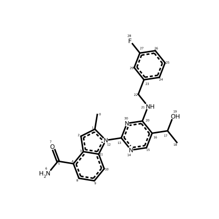 Cc1cc2c(C(N)=O)cccc2n1-c1ncc(C(C)O)c(NCc2cccc(F)c2)n1